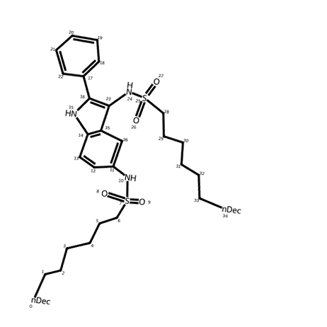 CCCCCCCCCCCCCCCCS(=O)(=O)Nc1ccc2[nH]c(-c3ccccc3)c(NS(=O)(=O)CCCCCCCCCCCCCCCC)c2c1